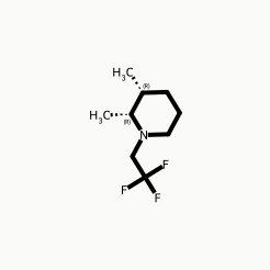 C[C@@H]1CCCN(CC(F)(F)F)[C@@H]1C